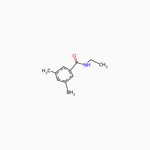 Bc1cc(C)cc(C(=O)NCC)c1